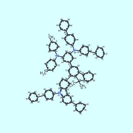 Cc1ccc(N(c2ccc(C)cc2)c2cc(-c3cc(-c4ccc5c(c4)c4cc(-c6ccccc6)ccc4n5-c4ccc(-c5ccccc5)cc4)c4c(c3)-c3ccccc3C4(C)C)cc(N(c3ccc(-c4ccccc4)cc3)c3ccc(-c4ccccc4)cc3)c2)cc1